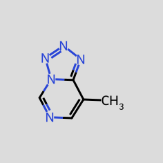 Cc1cncn2nnnc12